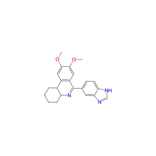 COc1cc2c(cc1OC)C1CCCCC1N=C2c1ccc2[nH]cnc2c1